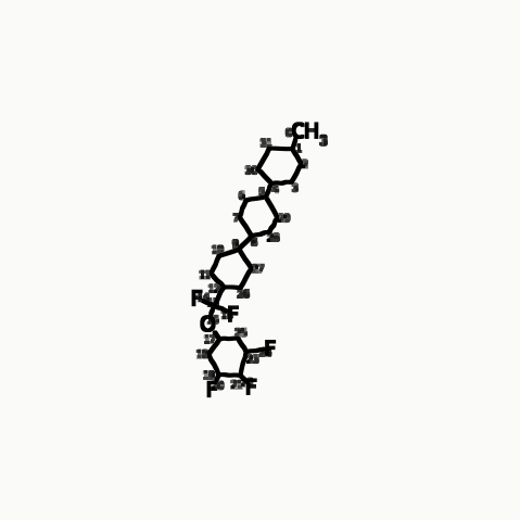 CC1CCC(C2CCC(C3CCC(C(F)(F)OC4CC(F)C(F)C(F)C4)CC3)CC2)CC1